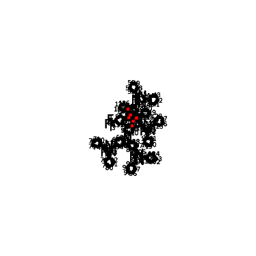 FC(F)(F)c1ccc(-n2c3ccc(-c4nc(-c5ccccc5)nc(-c5ccccc5)n4)cc3c3cc(-c4nc(-c5ccccc5)nc(-c5ccccc5)n4)ccc32)c(-c2cc(-n3c4ccc(-c5nc(-c6ccccc6)nc(-c6ccccc6)n5)cc4c4cc(-c5nc(-c6ccccc6)nc(-c6ccccc6)n5)ccc43)ccc2-c2nc(-c3ccccc3)nc(-c3ccccc3)n2)c1